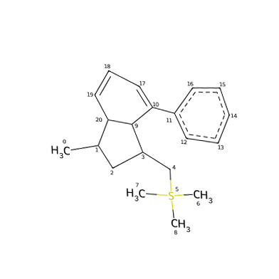 CC1CC(CS(C)(C)C)C2C(c3ccccc3)=CC=CC12